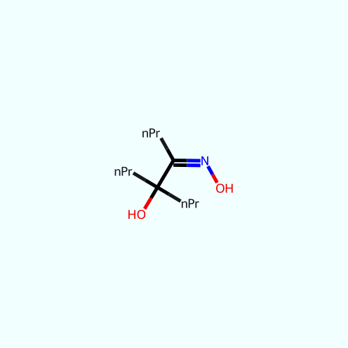 CCCC(=NO)C(O)(CCC)CCC